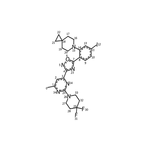 Cc1cc(-c2noc(-c3ccc(I)cc3N3CCC4(CC3)CC4)n2)nc(N2CCC(F)(F)CC2)n1